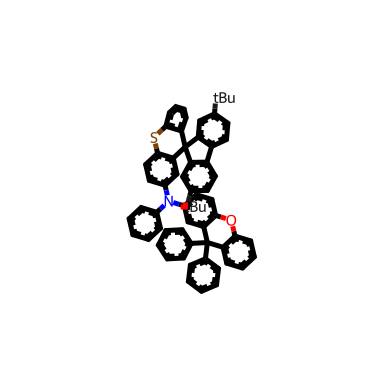 CC(C)(C)c1ccc2c(c1)C1(c3ccccc3Sc3ccc(N(c4ccccc4)c4ccc5c(c4)C(c4ccccc4)(c4ccccc4)c4ccccc4O5)cc31)c1cc(C(C)(C)C)ccc1-2